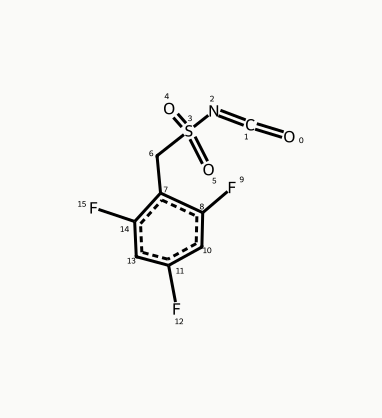 O=C=NS(=O)(=O)Cc1c(F)cc(F)cc1F